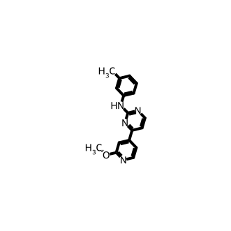 COc1cc(-c2ccnc(Nc3cccc(C)c3)n2)ccn1